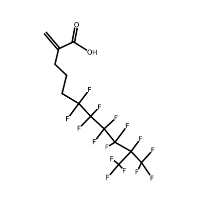 C=C(CCCC(F)(F)C(F)(F)C(F)(F)C(F)(F)C(F)(C(F)(F)F)C(F)(F)F)C(=O)O